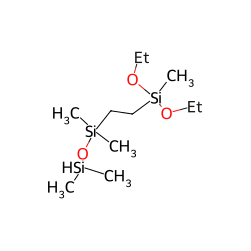 CCO[Si](C)(CC[Si](C)(C)O[SiH](C)C)OCC